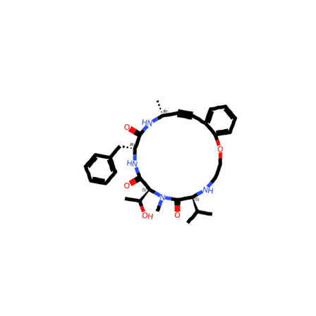 CC(C)[C@@H]1NCCOc2ccccc2C#C[C@@H](C)NC(=O)[C@@H](Cc2ccccc2)NC(=O)[C@H](C(C)O)N(C)C1=O